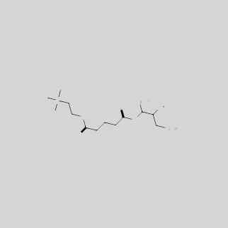 CCCCCCCCCCCC(O)C(CCCCC)OC(=O)CCCC(=O)OCC[N+](C)(C)C